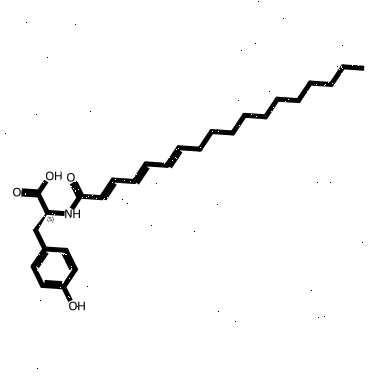 CCCCCCCCCCCC=CC=CC=CC(=O)N[C@@H](Cc1ccc(O)cc1)C(=O)O